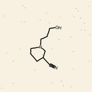 N#CC1CCCN(CCCO)C1